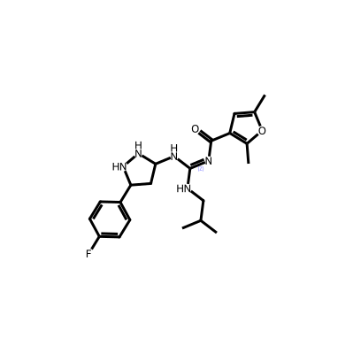 Cc1cc(C(=O)/N=C(/NCC(C)C)NC2CC(c3ccc(F)cc3)NN2)c(C)o1